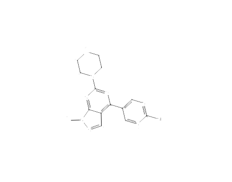 CCn1ncc2c(-c3cnc(N)nc3)nc(N3CCOCC3)nc21